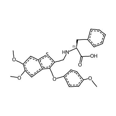 COc1ccc(Oc2c(CN[C@@H](Cc3ccccc3)C(=O)O)sc3cc(OC)c(OC)cc23)cc1